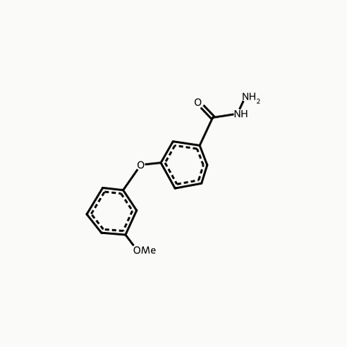 COc1cccc(Oc2cccc(C(=O)NN)c2)c1